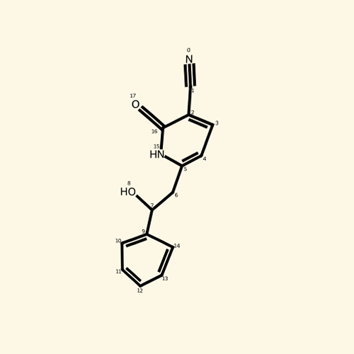 N#Cc1ccc(CC(O)c2ccccc2)[nH]c1=O